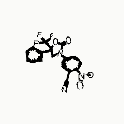 N#Cc1cc(N2CC(c3ccccc3)(C(F)(F)F)OC2=O)ccc1[N+](=O)[O-]